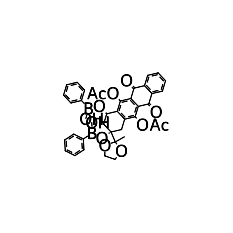 CC(=O)Oc1c2c(c(OC(C)=O)c3c1C(=O)c1ccccc1C3=O)[C@@H](OB(O)c1ccccc1)C[C@](OB(O)c1ccccc1)(C1(C)OCCO1)C2